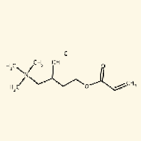 C=CC(=O)OCCC(O)C[N+](C)(C)C.[Cl-]